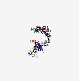 Cc1ncsc1-c1ccc([C@H](C)NC(=O)[C@H]2C[C@@H](O)CN2C(=O)[C@@H](NC(=O)CN2CCC(CC#Cc3ccc4c(c3)CN([C@H]3C(C)(C)[C@H](Oc5ccc(C#N)c(Cl)c5)C3(C)C)C4=O)CC2)C(C)(C)C)cc1